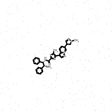 Cc1sc(C(=O)N[C@@H](c2ccccc2)[C@@H](N)c2ccccc2)nc1-c1cnn2cc(C3C=NN(C)C3)ccc12